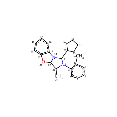 Cc1ccccc1N1C(C2CCCC2)N2c3ccccc3OC2[C@@H]1C